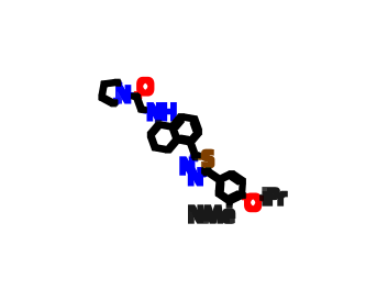 CNc1cc(-c2nnc(-c3cccc4c3CCC[C@@H]4NCC(=O)N3CCCC3)s2)ccc1OC(C)C